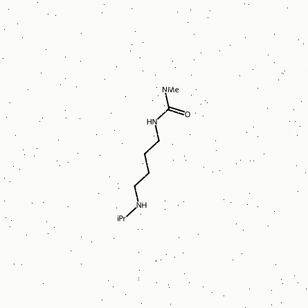 CNC(=O)NCCCCNC(C)C